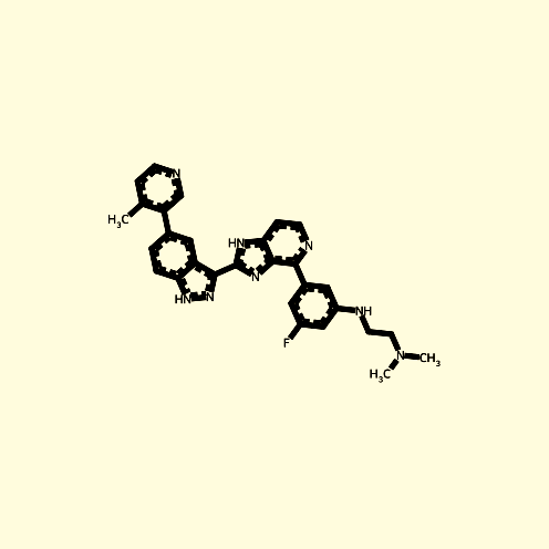 Cc1ccncc1-c1ccc2[nH]nc(-c3nc4c(-c5cc(F)cc(NCCN(C)C)c5)nccc4[nH]3)c2c1